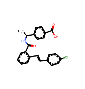 C[C@H](NC(=O)c1ccccc1/C=C/c1ccc(Cl)cc1)c1ccc(C(=O)O)cc1